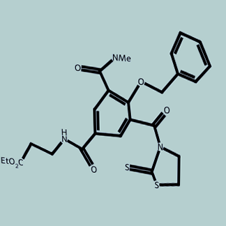 CCOC(=O)CCNC(=O)c1cc(C(=O)NC)c(OCc2ccccc2)c(C(=O)N2CCSC2=S)c1